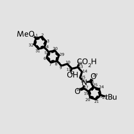 COc1ccc(-c2ccc(CCC(O)C(CCN3C(=O)c4ccc(C(C)(C)C)cc4C3=O)C(=O)O)cc2)cc1